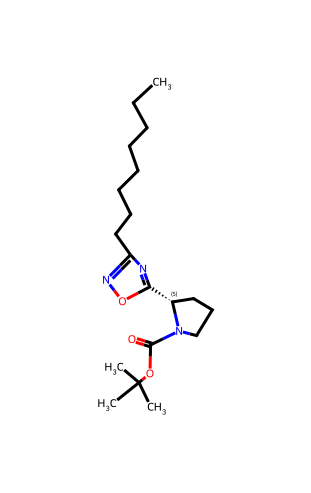 CCCCCCCCc1noc([C@@H]2CCCN2C(=O)OC(C)(C)C)n1